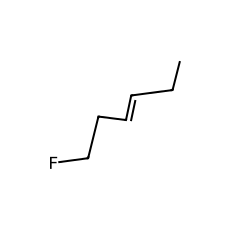 CCC=CCCF